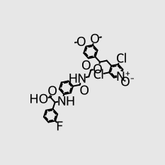 COc1ccc(C(Cc2c(Cl)c[n+]([O-])cc2Cl)OC(=O)CNC(=O)c2cccc(NC(C(=O)O)c3cccc(F)c3)c2)cc1OC